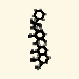 CN1C=Nc2ccc(Nc3c(F)ccc(NS(=O)(=O)N4CCCCC4)c3Cl)c(Cl)c2C1O